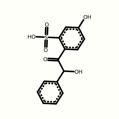 O=C(c1ccc(O)cc1S(=O)(=O)O)C(O)c1ccccc1